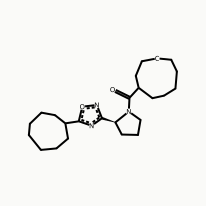 O=C(C1CCCCCCCC1)N1CCC[C@H]1c1noc(C2CCCCCCC2)n1